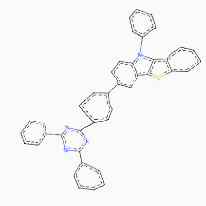 c1ccc(-c2nc(-c3ccccc3)nc(-c3ccc(-c4ccc5c(c4)c4sc6ccccc6c4n5-c4ccccc4)cc3)n2)cc1